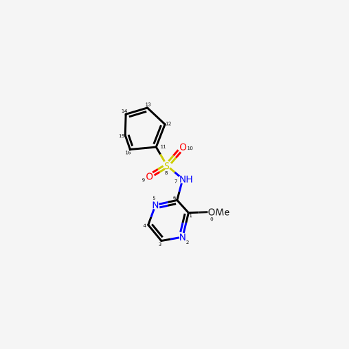 COc1nccnc1NS(=O)(=O)c1ccccc1